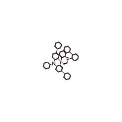 c1ccc(-c2ccc3c(c2)C2(c4cc(-c5ccccc5)ccc4N3c3ccccc3)c3ccccc3P(c3ccccc3-c3ccccc3)c3ccccc32)cc1